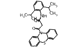 CC(C)c1cccc(C(C)C)c1NC(=O)CC(=O)N1c2ccccc2Sc2ccccc21